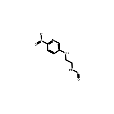 O=NNCCNc1ccc([N+](=O)[O-])nc1